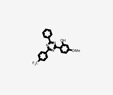 COc1ccc(-c2nc(-c3ccccc3)nc(-c3ccc(C(F)(F)F)cc3)n2)c(O)c1